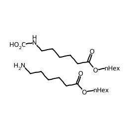 CCCCCCOC(=O)CCCCCN.CCCCCCOC(=O)CCCCCNC(=O)O